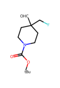 CC(C)(C)OC(=O)N1CCC(C=O)(CF)CC1